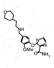 COc1cc(CNCCC2CCOCC2)ccc1Oc1nccnc1C(N)=O